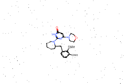 COc1cccc(CC2CCCCCN2c2nc(N3CCOCC3)cc(=O)[nH]2)c1OC